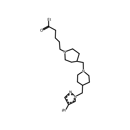 CCC(=O)CCCCN1CCC(CN2CCC(Cn3cc(C(C)C)cn3)CC2)CC1